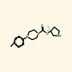 Cc1ccc(N2CCN(C(=O)O[C@@]3(C)CCNC3)CC2)cc1